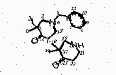 CC1(C)CN(Cc2ccccc2)CCC1=O.CC1(C)CNCCC1=O